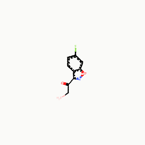 BCC(=O)c1noc2cc(F)ccc12